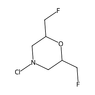 FCC1CN(Cl)CC(CF)O1